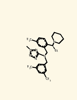 CC[C@@H](c1ccc(C(F)(F)F)cc1CN(Cc1cc(C(F)(F)F)cc(C(F)(F)F)c1)c1nnn(C)n1)N1CCCCC1